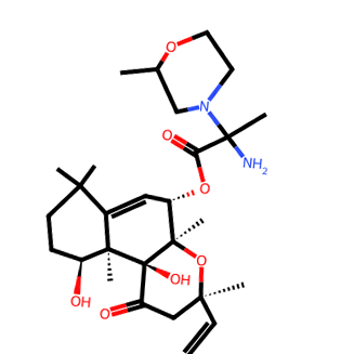 C=C[C@@]1(C)CC(=O)[C@@]2(O)[C@](C)(O1)[C@@H](OC(=O)C(C)(N)N1CCOC(C)C1)C=C1C(C)(C)CC[C@H](O)[C@@]12C